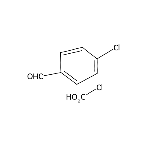 O=C(O)Cl.O=Cc1ccc(Cl)cc1